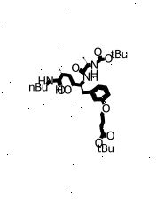 CCCCNC(=O)[C@H](C)C[C@H](O)[C@H](Cc1cccc(OCCCC(=O)OC(C)(C)C)c1)NC(=O)[C@H](C)NC(=O)OC(C)(C)C